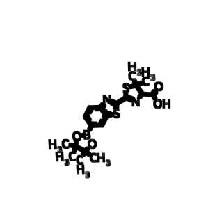 CC1(C)SC(c2nc3ccc(B4OC(C)(C)C(C)(C)O4)cc3s2)=NC1C(=O)O